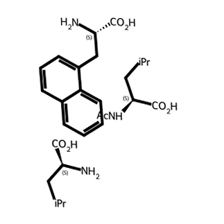 CC(=O)N[C@@H](CC(C)C)C(=O)O.CC(C)C[C@H](N)C(=O)O.N[C@@H](Cc1cccc2ccccc12)C(=O)O